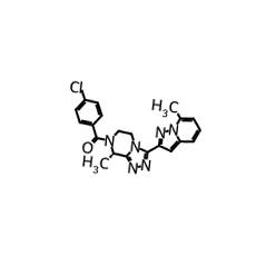 Cc1cccc2cc(-c3nnc4n3CCN(C(=O)c3ccc(Cl)cc3)[C@@H]4C)nn12